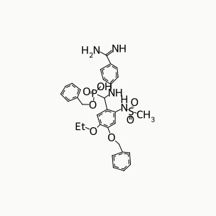 CCOc1cc(C(Nc2ccc(C(=N)N)cc2)P(=O)(O)OCc2ccccc2)c(NS(C)(=O)=O)cc1OCc1ccccc1